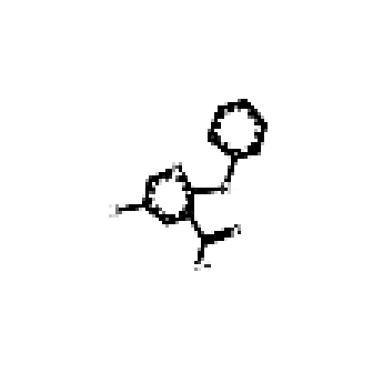 O=C(O)c1cc(Cl)cnc1Nc1ccccc1